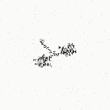 C#CCOCCOCCOCCOCCC(=O)N(CCOCCCNC(=O)CO[C@@H]([C@@H]1OC(C(=O)O)=C[C@H](N=C(N)N)[C@H]1NCC)[C@H](O)CO)CCOCCCNC(=O)CO[C@@H]([C@@H]1OC(C(=O)O)=C[C@H](N=C(N)N)[C@H]1NC(C)=O)[C@H](O)CO